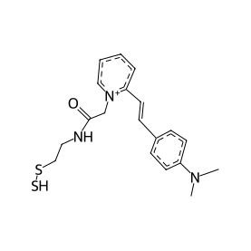 CN(C)c1ccc(/C=C/c2cccc[n+]2CC(=O)NCCSS)cc1